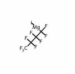 FC(F)(F)C(F)(F)C(F)(F)[C](F)(F)[Mg][I]